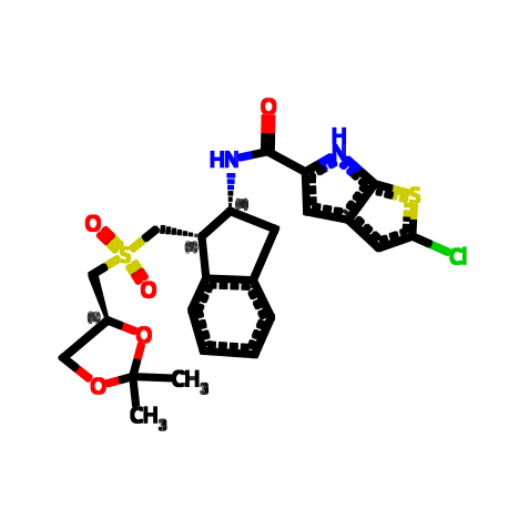 CC1(C)OC[C@@H](CS(=O)(=O)C[C@H]2c3ccccc3C[C@H]2NC(=O)c2cc3cc(Cl)sc3[nH]2)O1